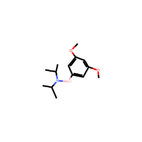 COc1cc(BN(C(C)C)C(C)C)cc(OC)c1